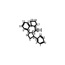 c1ccc(C2CCC(c3ccccc3)P2NC2CCCC2)cc1